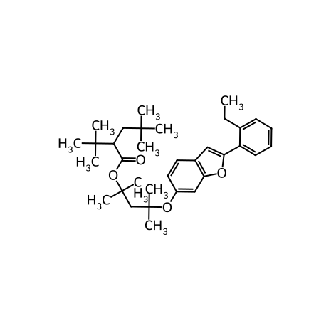 CCc1ccccc1-c1cc2ccc(OC(C)(C)CC(C)(C)OC(=O)C(CC(C)(C)C)C(C)(C)C)cc2o1